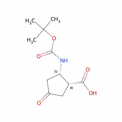 CC(C)(C)OC(=O)N[C@H]1CC(=O)C[C@H]1C(=O)O